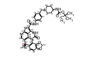 CC(C)(C)OC(=O)NC1CCN(Cc2ccc(NC(=O)c3sc4ncc(C#N)c5c4c3NC(=O)N5c3c(CI)ccc4c3OCO4)cc2)CC1